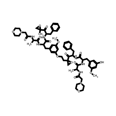 COc1cc(O)cc(CC(NC(=O)C(C)NC(=O)CN2CCOCC2)C(=O)NC(Cc2ccccc2)C(=O)C2(CCOc3cc(CC(NC(=O)C(C)NC(=O)CN4CCOCC4)C(=O)NC(Cc4ccccc4)C(=O)C4(C)CO4)cc(OC)c3)CO2)c1